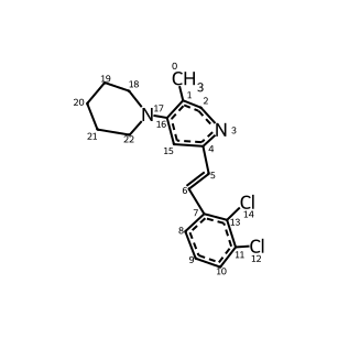 Cc1cnc(C=Cc2cccc(Cl)c2Cl)cc1N1CCCCC1